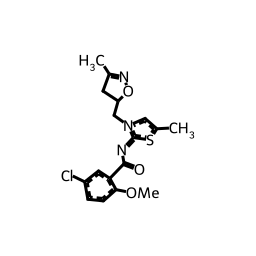 COc1ccc(Cl)cc1C(=O)/N=c1\sc(C)cn1CC1CC(C)=NO1